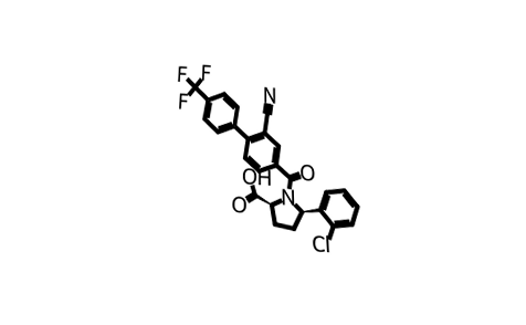 N#Cc1cc(C(=O)N2[C@@H](c3ccccc3Cl)CC[C@H]2C(=O)O)ccc1-c1ccc(C(F)(F)F)cc1